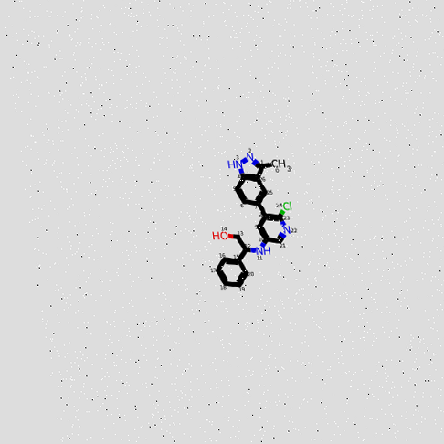 Cc1n[nH]c2ccc(-c3cc(NC(CO)c4ccccc4)cnc3Cl)cc12